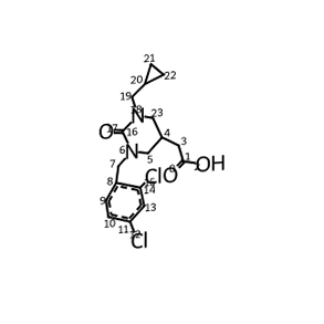 O=C(O)CC1CN(Cc2ccc(Cl)cc2Cl)C(=O)N(CC2CC2)C1